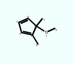 [CH3][Ti][C]1(C)C=CC=C1C